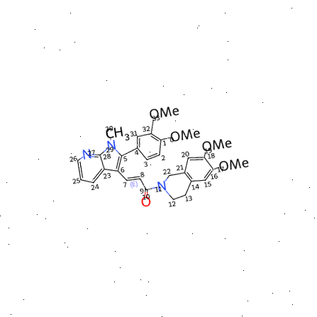 COc1ccc(-c2c(/C=C/C(=O)N3CCc4cc(OC)c(OC)cc4C3)c3cccnc3n2C)cc1OC